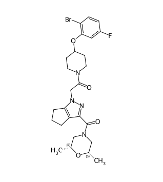 C[C@@H]1CN(C(=O)c2nn(CC(=O)N3CCC(Oc4cc(F)ccc4Br)CC3)c3c2CCC3)C[C@H](C)O1